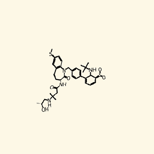 CSc1ccc2c(c1)CC[C@@H](NC(=O)CC(C)(C)NC[C@@H](C)O)C(=O)N2Cc1ccc(C2=CC=CC(=S(=O)=O)C2NC(C)(C)C)cc1